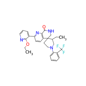 CCOc1ncccc1-c1ccc2c(n1)C(=O)NCC21CCN(c2ccccc2C(F)(F)F)CC1CC